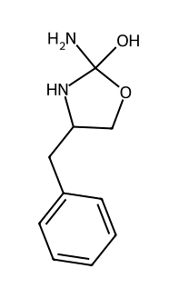 NC1(O)NC(Cc2ccccc2)CO1